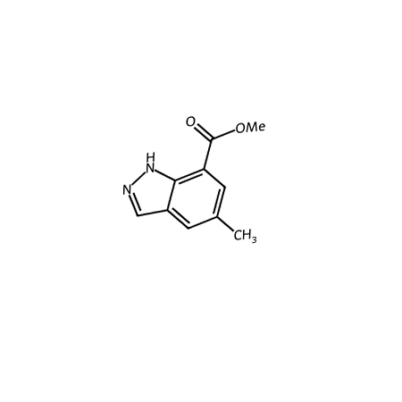 COC(=O)c1cc(C)cc2cn[nH]c12